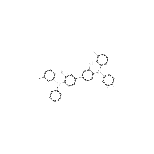 Cc1cccc(N(c2ccccc2)c2ccc(-c3ccc(N(c4ccccc4)c4cccc(C)c4)c(Cl)c3)cc2Cl)c1